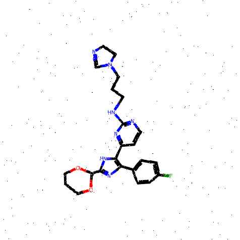 Fc1ccc(-c2nc(C3OCCCO3)[nH]c2-c2ccnc(NCCCN3C=NCC3)n2)cc1